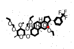 CCOCO[C@@H]1[C@H](O[C@H]2CC[C@@]3(C)[C@H](CC[C@@H]4[C@@H]3CC[C@]3(C)[C@@H](c5cccc(C(F)(F)F)c5)CC[C@]43OCOCC)C2)O[C@@H](C)[C@H](OCOCC)[C@H]1OC